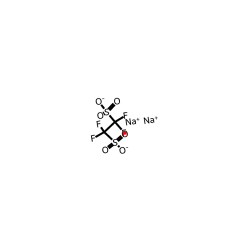 O=S(=O)([O-])C(F)(F)C(F)(F)S(=O)(=O)[O-].[Na+].[Na+]